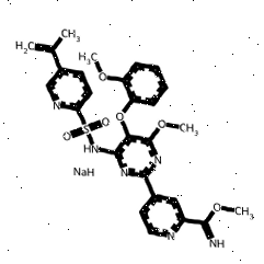 C=C(C)c1ccc(S(=O)(=O)Nc2nc(-c3ccnc(C(=N)OC)c3)nc(OC)c2Oc2ccccc2OC)nc1.[NaH]